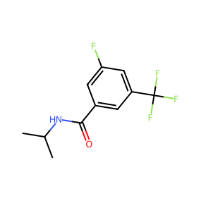 CC(C)NC(=O)c1cc(F)cc(C(F)(F)F)c1